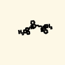 CC(=O)OCCN1C=CC(=CC=Cc2sc3ccccc3[n+]2C)c2ccccc21